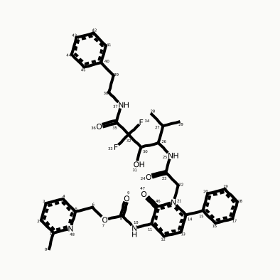 Cc1cccc(COC(=O)Nc2ccc(-c3ccccc3)n(CC(=O)NC(C(C)C)C(O)C(F)(F)C(=O)NCCc3ccccc3)c2=O)n1